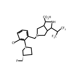 O=C(O)C1NC(C(C(F)(F)F)C(F)(F)F)C2CN(Cc3cccc(Cl)c3N3CC[C@H](CF)C3)CC12